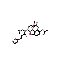 CC(=O)Oc1ccc2c3c1C[C@@H]1[C@@H]4CC[C@@H](N(CC(C)C)C(=O)/C=C/c5ccoc5)[C@H](O2)[C@]34CCN1C